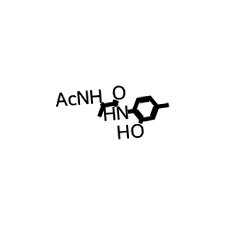 CC(=O)NC(C)C(=O)Nc1ccc(C)cc1O